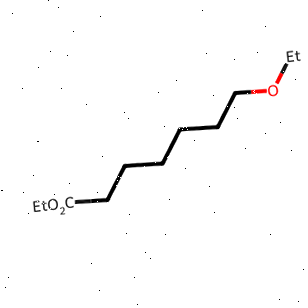 CCOCCCCCCC(=O)OCC